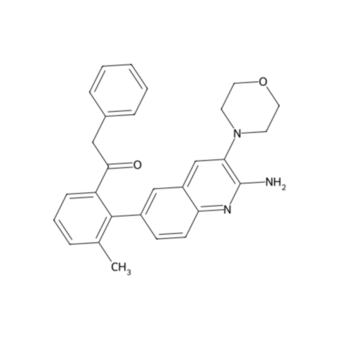 Cc1cccc(C(=O)Cc2ccccc2)c1-c1ccc2nc(N)c(N3CCOCC3)cc2c1